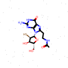 CC(=O)NCCc1nc2c(=O)[nH]c(N)nc2n1[C@@H]1O[C@H](CO)[C@@H](O)[C@H]1S